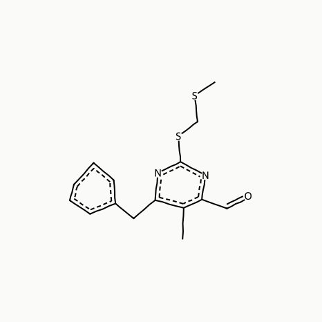 CSCSc1nc(C=O)c(C)c(Cc2ccccc2)n1